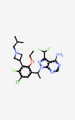 CCOc1c(C(C)n2nc(C(F)F)c3c(N)ncnc32)cc(Cl)c(F)c1C1CN(CC(C)C)C1